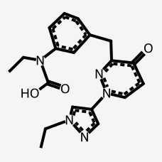 CCN(C(=O)O)c1cccc(Cc2nn(-c3cnn(CC)c3)ccc2=O)c1